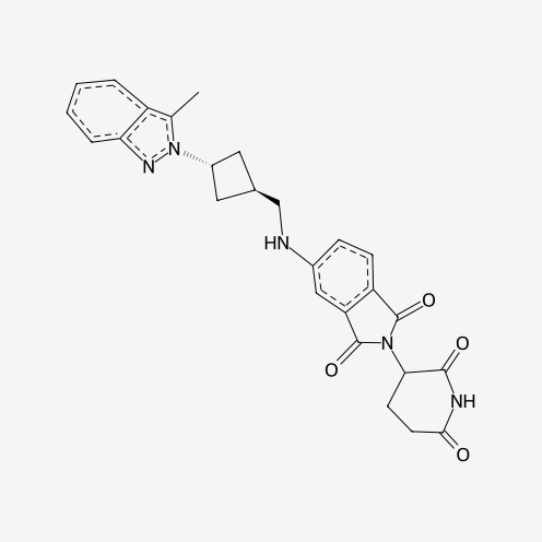 Cc1c2ccccc2nn1[C@H]1C[C@H](CNc2ccc3c(c2)C(=O)N(C2CCC(=O)NC2=O)C3=O)C1